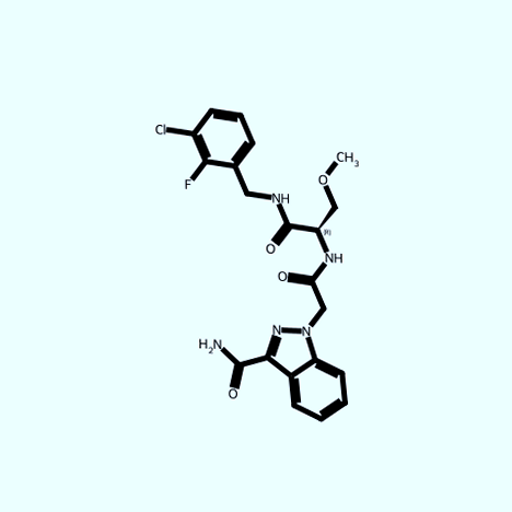 COC[C@@H](NC(=O)Cn1nc(C(N)=O)c2ccccc21)C(=O)NCc1cccc(Cl)c1F